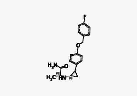 C[C@@H](N[C@H]1CC1c1ccc(OCc2ccc(F)cc2)cc1)C(N)=O